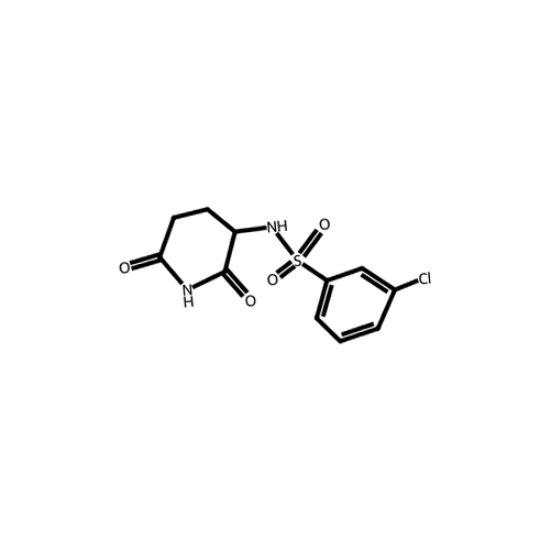 O=C1CCC(NS(=O)(=O)c2cccc(Cl)c2)C(=O)N1